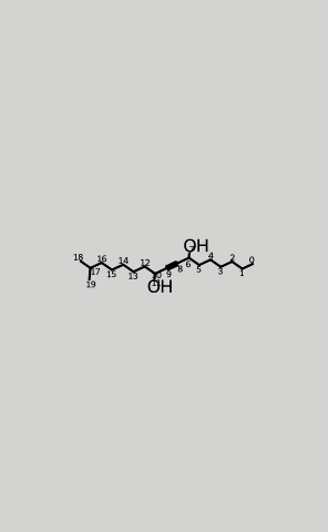 CCCCCCC(O)C#CC(O)CCCCCC(C)C